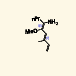 C=C/C(C)=C/C(OC)=C(\N)CCC